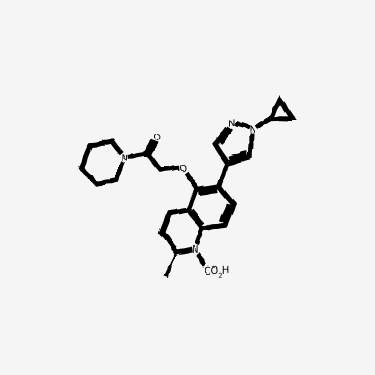 C[C@H]1CCc2c(ccc(-c3cnn(C4CC4)c3)c2OCC(=O)N2CCCCC2)N1C(=O)O